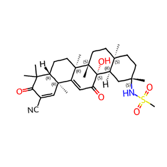 CC1(C)C(=O)C(C#N)=C[C@]2(C)C3=CC(=O)[C@]4(O)[C@@H]5C[C@@](C)(NS(C)(=O)=O)CC[C@]5(C)CC[C@@]4(C)[C@]3(C)CC[C@@H]12